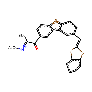 CCCC/C(=N\OC(C)=O)C(=O)c1ccc2sc3ccc(C=C4Sc5ccccc5S4)cc3c2c1